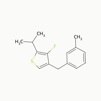 Cc1cccc(Cc2csc(C(C)C)c2F)c1